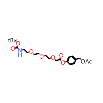 CC(=O)OCc1ccc(OC(=O)COCCOCCOCCNC(=O)OC(C)(C)C)cc1